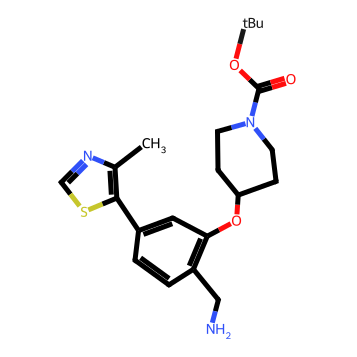 Cc1ncsc1-c1ccc(CN)c(OC2CCN(C(=O)OC(C)(C)C)CC2)c1